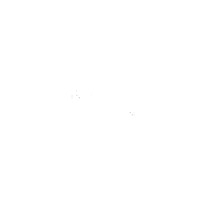 N[CH]/C=C/N